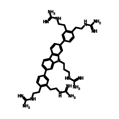 N=C(N)NCCCn1c2cc(-c3ccc(CCNC(=N)N)c(CCNC(=N)N)c3)ccc2c2ccc(-c3ccc(CCNC(=N)N)c(CCNC(=N)N)c3)cc21